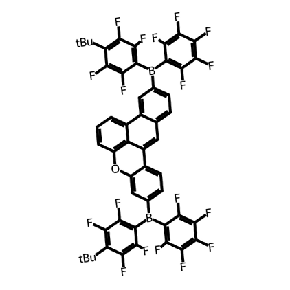 CC(C)(C)c1c(F)c(F)c(B(c2ccc3c(c2)Oc2cccc4c2c-3cc2ccc(B(c3c(F)c(F)c(F)c(F)c3F)c3c(F)c(F)c(C(C)(C)C)c(F)c3F)cc24)c2c(F)c(F)c(F)c(F)c2F)c(F)c1F